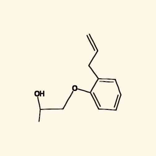 C=CCc1ccccc1OCC(C)O